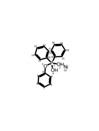 OP(O)(Oc1ccccc1)(c1ccccc1)c1ccccc1.[Ni]